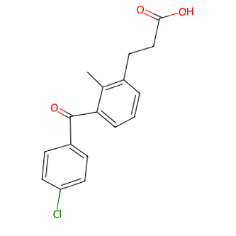 Cc1c(CCC(=O)O)cccc1C(=O)c1ccc(Cl)cc1